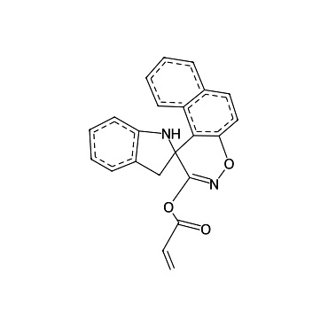 C=CC(=O)OC1=NOc2ccc3ccccc3c2C12Cc1ccccc1N2